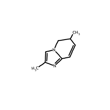 Cc1cn2c(n1)C=CC(C)C2